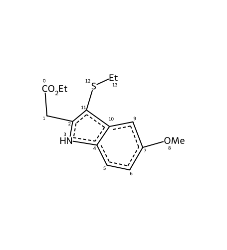 CCOC(=O)Cc1[nH]c2ccc(OC)cc2c1SCC